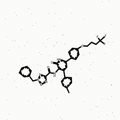 Cc1ccc(-c2cc(-c3ccc(OCCCC(F)(F)F)cc3)[nH]c(=O)c2NC(=O)c2nnn(Cc3ccccc3)n2)cc1